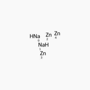 [NaH].[NaH].[Zn].[Zn].[Zn]